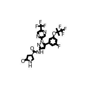 CC(C)(Oc1cc(F)cc(-c2cc(NC(=O)[C@H]3CNC(=O)C3)nn2-c2cnc(C(F)(F)F)cn2)c1)C(F)(F)F